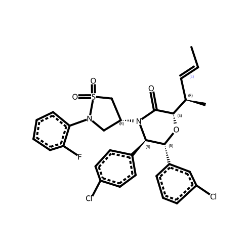 C/C=C/[C@@H](C)[C@@H]1O[C@H](c2cccc(Cl)c2)[C@@H](c2ccc(Cl)cc2)N([C@@H]2CN(c3ccccc3F)S(=O)(=O)C2)C1=O